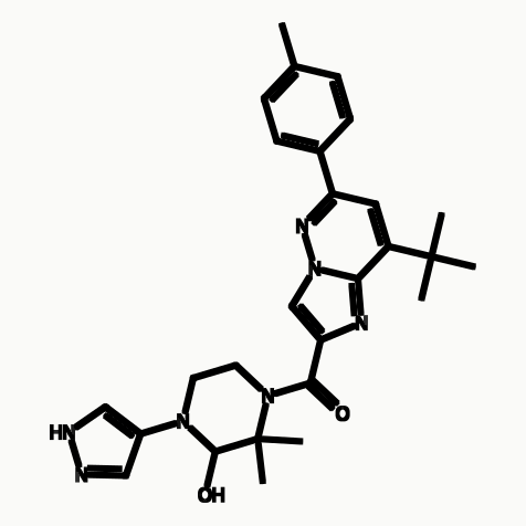 Cc1ccc(-c2cc(C(C)(C)C)c3nc(C(=O)N4CCN(c5cn[nH]c5)C(O)C4(C)C)cn3n2)cc1